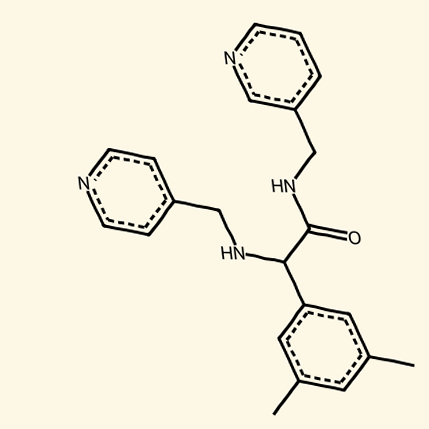 Cc1cc(C)cc(C(NCc2ccncc2)C(=O)NCc2cccnc2)c1